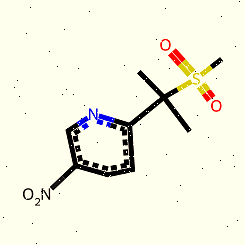 CC(C)(c1ccc([N+](=O)[O-])cn1)S(C)(=O)=O